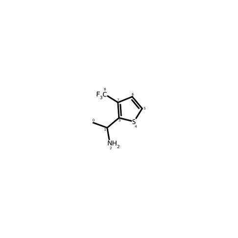 CC(N)c1sccc1C(F)(F)F